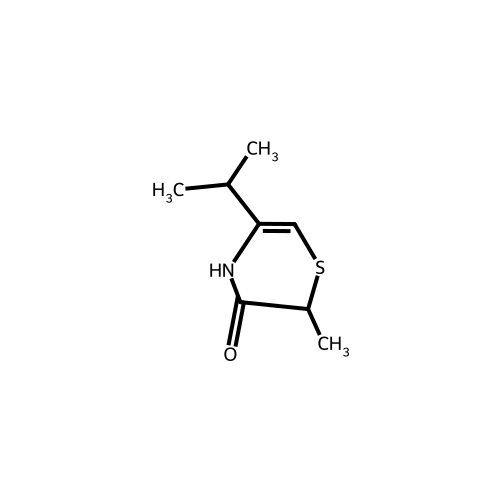 CC(C)C1=CSC(C)C(=O)N1